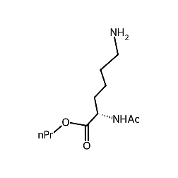 CCCOC(=O)[C@H](CCCCN)NC(C)=O